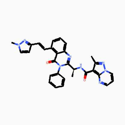 Cc1nn2cccnc2c1C(=O)N[C@@H](C)c1nc2cccc(/C=C/c3ccn(C)n3)c2c(=O)n1-c1ccccc1